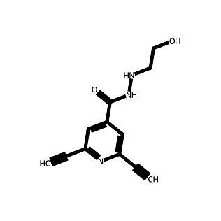 C#Cc1cc(C(=O)NNCCO)cc(C#C)n1